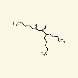 CCCCCNCN(I)C(CCCC)CCCCC